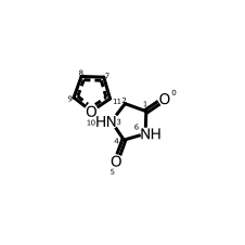 O=C1CNC(=O)N1.c1ccoc1